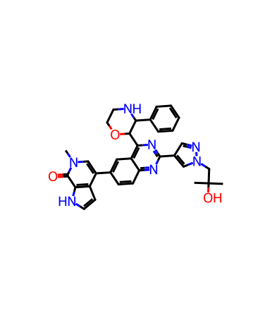 Cn1cc(-c2ccc3nc(-c4cnn(CC(C)(C)O)c4)nc(C4OCCNC4c4ccccc4)c3c2)c2cc[nH]c2c1=O